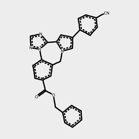 N#Cc1ccc(-c2cc3n(c2)Cc2cc(C(=O)OCc4ccccc4)ccc2-n2ncnc2-3)cc1